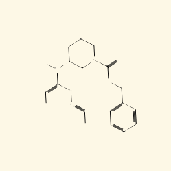 C/C=C(\N/N=C/C(=O)OCC)N(C)[C@H]1CCCN(C(=O)OCc2ccccc2)C1